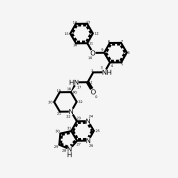 O=C(CNc1ccccc1Oc1ccccc1)N[C@@H]1CCCN(c2ncnc3[nH]ccc23)C1